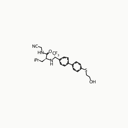 CC(C)C[C@H](N[C@@H](c1ccc(-c2ccc(SCCO)cc2)cc1)C(F)(F)F)C(=O)NCC#N